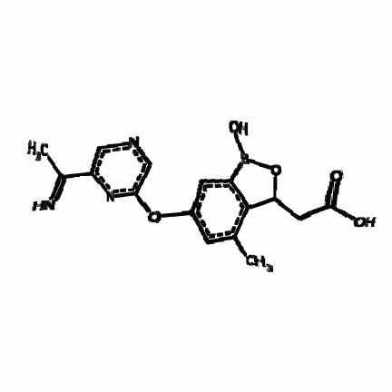 CC(=N)c1cncc(Oc2cc(C)c3c(c2)B(O)OC3CC(=O)O)n1